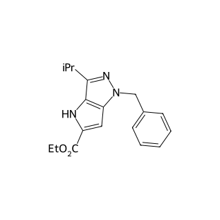 CCOC(=O)c1cc2c([nH]1)c(C(C)C)nn2Cc1ccccc1